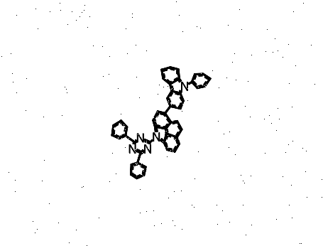 c1ccc(-c2nc(-c3ccccc3)nc(-n3c4cccc5ccc6c(-c7ccc8c(c7)c7ccccc7n8-c7ccccc7)ccc3c6c54)n2)cc1